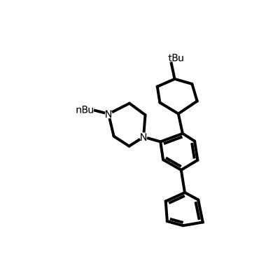 CCCCN1CCN(c2cc(-c3ccccc3)ccc2C2CCC(C(C)(C)C)CC2)CC1